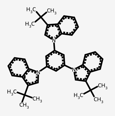 CC(C)(C)c1cn(-c2cc(-n3cc(C(C)(C)C)c4ccccc43)cc(-n3cc(C(C)(C)C)c4ccccc43)c2)c2ccccc12